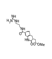 COC(=O)CC1Cc2ccc(C(=O)NCCCNC(=N)N)cc2NC1=O